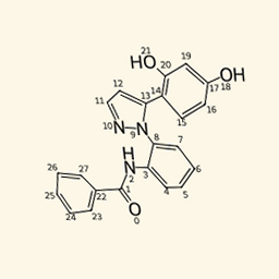 O=C(Nc1ccccc1-n1nccc1-c1ccc(O)cc1O)c1ccccc1